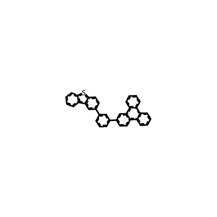 c1cc(-c2ccc3sc4ccccc4c3c2)cc(-c2ccc3c4ccccc4c4ccccc4c3c2)c1